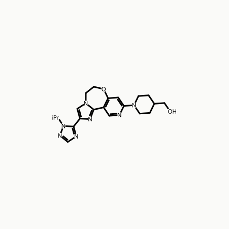 CC(C)n1ncnc1-c1cn2c(n1)-c1cnc(N3CCC(CO)CC3)cc1OCC2